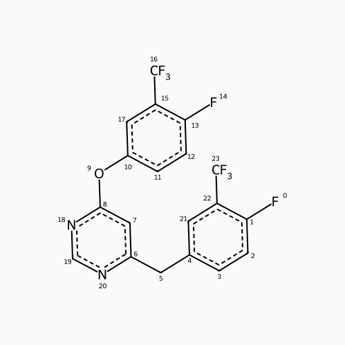 Fc1ccc(Cc2cc(Oc3ccc(F)c(C(F)(F)F)c3)ncn2)cc1C(F)(F)F